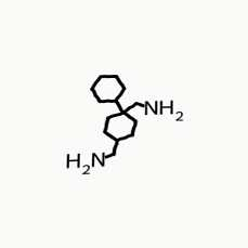 NCC1CCC(CN)(C2CCCCC2)CC1